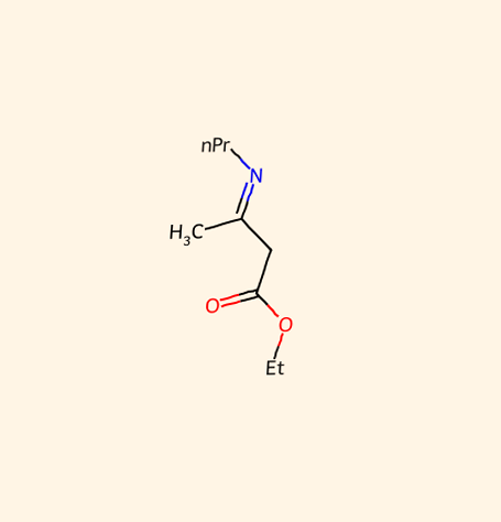 CCC/N=C(\C)CC(=O)OCC